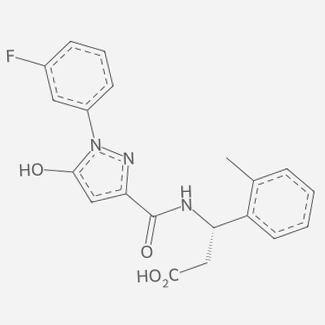 Cc1ccccc1[C@H](CC(=O)O)NC(=O)c1cc(O)n(-c2cccc(F)c2)n1